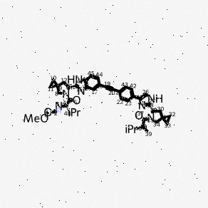 COO/C=N/[C@H](C(=O)N1CC2(CC2)C[C@H]1c1nc2cc(C#Cc3ccc(-c4c[nH]c([C@@H]5CC6(CC6)CN5C(=O)[C@@H](C)C(C)C)n4)cc3)ccc2[nH]1)C(C)C